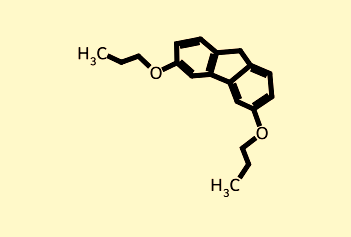 CCCOc1ccc2c(c1)-c1cc(OCCC)ccc1C2